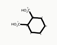 O=C(O)C1C[CH]CCC1C(=O)O